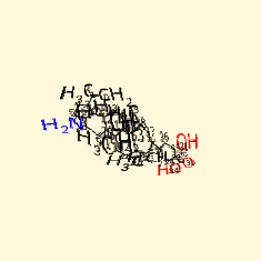 C=C(C)[C@@H]1CC[C@]2(N)CC[C@]3(C)[C@H](CC[C@@H]4[C@@H]5[C@@H](CC[C@]43C)C(C)(C)C(C3=CCC(CO)(C(=O)O)CC3)=C[C@@H]5C)[C@@H]12